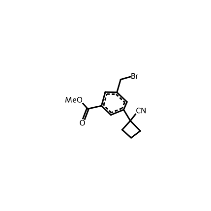 COC(=O)c1cc(CBr)cc(C2(C#N)CCC2)c1